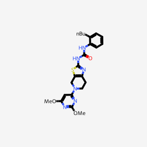 CCCCc1ccccc1NC(=O)Nc1nc2c(s1)CN(c1cc(OC)nc(OC)n1)CC2